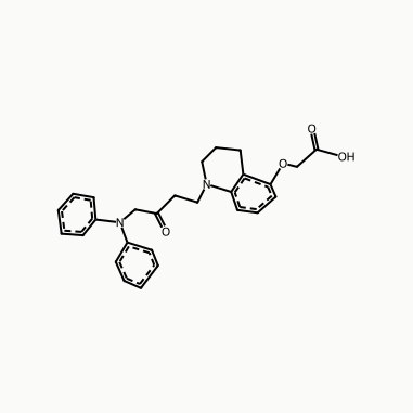 O=C(O)COc1cccc2c1CCCN2CCC(=O)CN(c1ccccc1)c1ccccc1